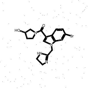 O=C(c1cn(CC2=NCCN2)c2cc(Br)ccc12)N1CCC(O)C1